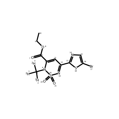 [2H]C([2H])([2H])N1C(C(=O)OCC)=CC(c2ncc(Br)s2)=NS1(=O)=O